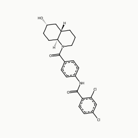 O=C(Nc1ccc(C(=O)N2CCC[C@H]3C[C@@H](O)CC[C@@H]32)cc1)c1ccc(Cl)cc1Cl